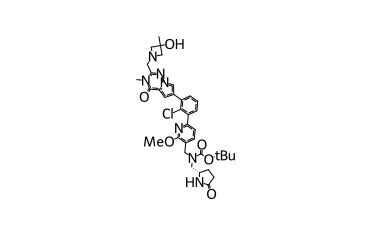 COc1nc(-c2cccc(-c3cc4c(=O)n(C)c(CN5CC(C)(O)C5)nn4c3)c2Cl)ccc1CN(C[C@@H]1CCC(=O)N1)C(=O)OC(C)(C)C